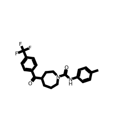 Cc1ccc(NC(=O)N2CCCC(C(=O)c3ccc(C(F)(F)F)cc3)CC2)cc1